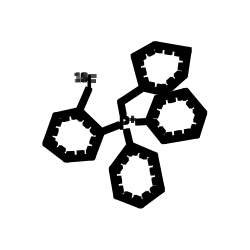 [18F]c1ccccc1[P+](Cc1ccccc1)(c1ccccc1)c1ccccc1